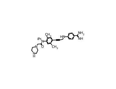 Cc1cc(N(C(=O)CN2CCNCC2)C(C)C)c(C)cc1C#CCNc1ccc(C(=N)N)cc1